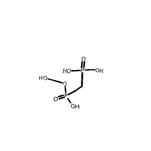 O=P(O)(O)CP(=O)(O)OO